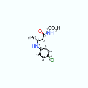 CCCC(CC(=O)NC(=O)O)Nc1ccc(Cl)cc1